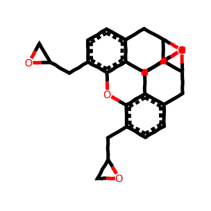 c1cc(CC2CO2)c(Oc2c(CC3CO3)ccc3c2CC2OC2C3)c2c1CC1OC1C2